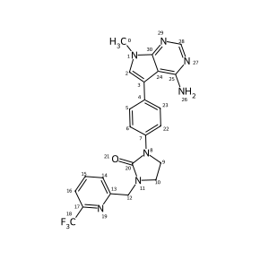 Cn1cc(-c2ccc(N3CCN(Cc4cccc(C(F)(F)F)n4)C3=O)cc2)c2c(N)ncnc21